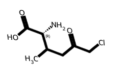 CC(CC(=O)CCl)[C@@H](N)C(=O)O